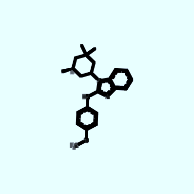 C[C@@H]1CC(n2c(Nc3ccc(OC(F)(F)F)cc3)nc3ccccc32)CC(C)(C)C1